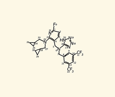 Fc1ccc(CN(Cc2cc(C(F)(F)F)cc(C(F)(F)F)c2)c2nnn[nH]2)c(N(CC2CC2)CC2CC2)n1